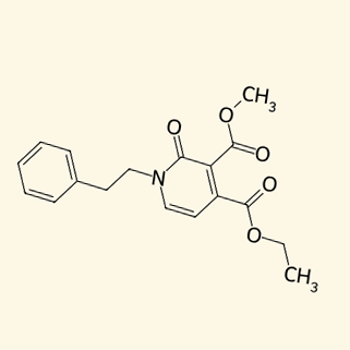 CCOC(=O)c1ccn(CCc2ccccc2)c(=O)c1C(=O)OC